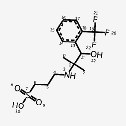 CC(C)(NCCCS(=O)(=O)O)C(O)c1ccccc1C(F)(F)F